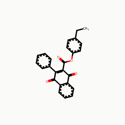 CCc1ccc(OC(=O)C2=C(c3ccccc3)C(=O)c3ccccc3C2=O)cc1